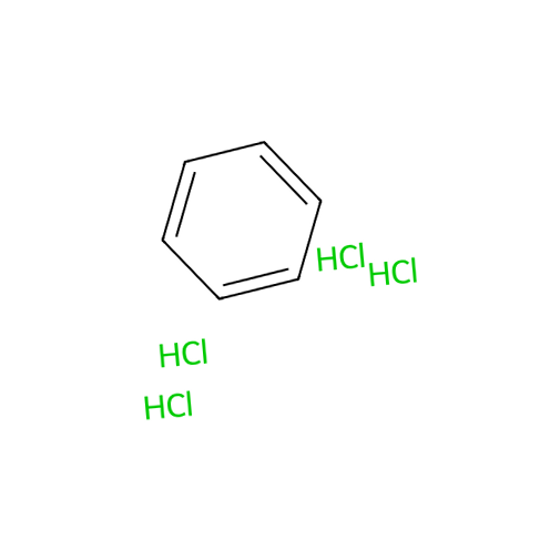 Cl.Cl.Cl.Cl.c1ccccc1